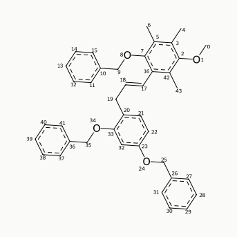 COc1c(C)c(C)c(OCc2ccccc2)c(C=CCc2ccc(OCc3ccccc3)cc2OCc2ccccc2)c1C